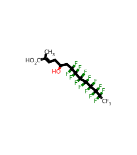 CC(=CCC(O)CC(F)(F)C(F)(F)C(F)(F)C(F)(F)C(F)(F)C(F)(F)C(F)(F)C(F)(F)F)C(=O)O